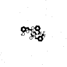 COc1cccc2cc(C(=O)N3CC(=O)N(Cc4cccc(C(F)(F)F)c4)[C@@H](CCc4ccccc4)C3)oc12